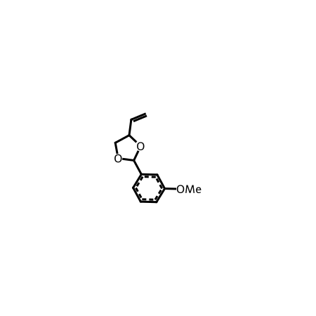 C=CC1COC(c2cccc(OC)c2)O1